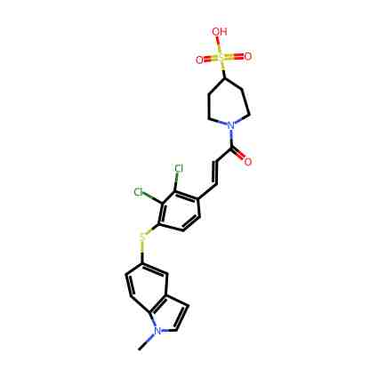 Cn1ccc2cc(Sc3ccc(/C=C/C(=O)N4CCC(S(=O)(=O)O)CC4)c(Cl)c3Cl)ccc21